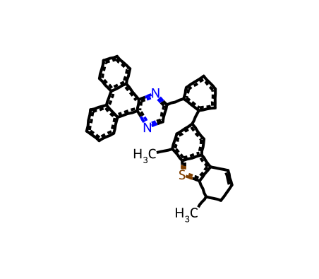 Cc1cc(-c2ccccc2-c2cnc3c4ccccc4c4ccccc4c3n2)cc2c3c(sc12)C(C)CC=C3